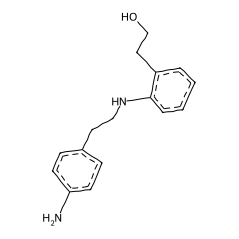 Nc1ccc(CCNc2ccccc2CCO)cc1